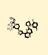 CC(C)(C)OC(=O)N1CCC(n2cc(-c3ccnc4ccc(N5CCC[C@@H]5c5cc(F)ccc5F)nc34)cn2)CC1(C)C